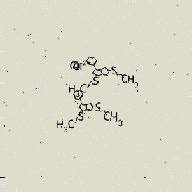 CCCSC1=CC2=C(c3ccccc3)C=C(SCCC)C2=C1.CCCSC1=CC2=C(c3ccccc3)C=C(SCCC)C2=C1.[Cl-].[Cl-].[Zr+2]